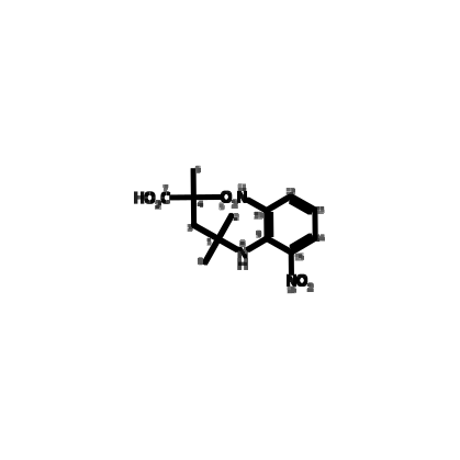 CC(C)(CC(C)(C)C(=O)O)Nc1c([N+](=O)[O-])cccc1[N+](=O)[O-]